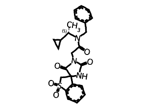 C[C@@H](C1CC1)N(Cc1ccccc1)C(=O)CN1C(=O)NC2(CS(=O)(=O)c3ccccc32)C1=O